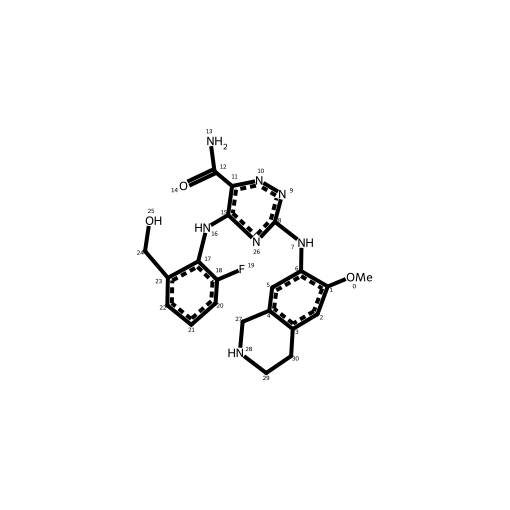 COc1cc2c(cc1Nc1nnc(C(N)=O)c(Nc3c(F)cccc3CO)n1)CNCC2